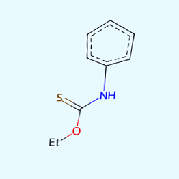 CCOC(=S)Nc1ccccc1